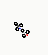 c1ccc(B2c3ccccc3N(c3ccc(B4c5ccccc5Oc5ccccc54)cc3)c3ccccc32)cc1